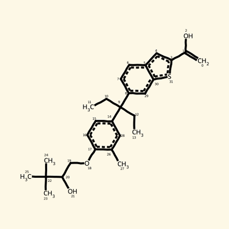 C=C(O)c1cc2ccc(C(CC)(CC)c3ccc(OCC(O)C(C)(C)C)c(C)c3)cc2s1